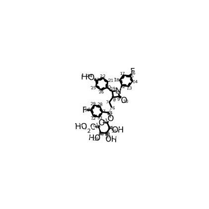 O=C(O)[C@H]1OC(O[C@@H](CCC2C(=O)N(c3ccc(F)cc3)C2c2ccc(O)cc2)c2ccc(F)cc2)[C@H](O)[C@@H](O)[C@@H]1O